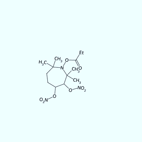 CCC(=O)ON1C(C)(C)CCC(O[N+](=O)[O-])C(O[N+](=O)[O-])C1(C)C